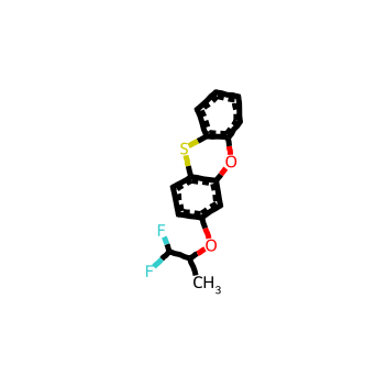 CC(Oc1ccc2c(c1)Oc1ccccc1S2)C(F)F